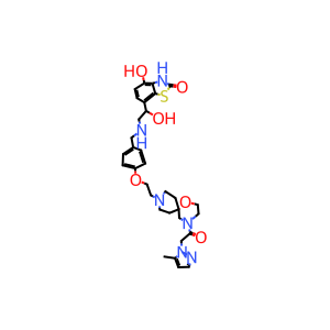 Cc1ccnn1CC(=O)N1CCOC2(CCN(CCOc3ccc(CNCC(O)c4ccc(O)c5[nH]c(=O)sc45)cc3)CC2)C1